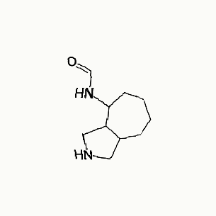 O=CNC1CCCCC2CNCC21